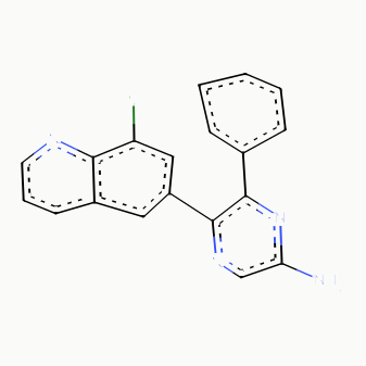 Nc1cnc(-c2cc(Cl)c3ncccc3c2)c(-c2ccccc2)n1